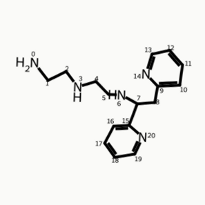 NCCNCCNC(Cc1ccccn1)c1ccccn1